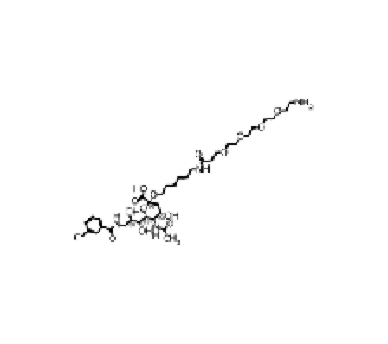 CC(=O)N[C@H]1[C@H]([C@H](O)[C@H](O)CNC(=O)c2cccc(Cl)c2)O[C@@](OCCCCCCNC(=O)CCOCCOCCOCCOCCN)(C(=O)O)C[C@@H]1O